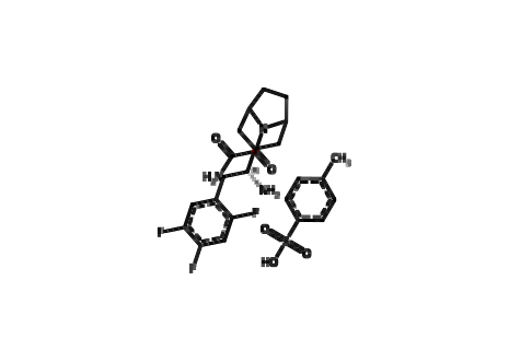 Cc1ccc(S(=O)(=O)O)cc1.NC(=O)C(=O)N1C2CCC1CC([C@H](N)Cc1cc(F)c(F)cc1F)C2